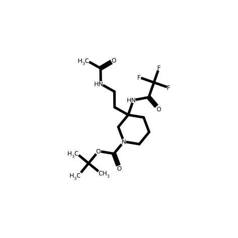 CC(=O)NCCC1(NC(=O)C(F)(F)F)CCCN(C(=O)OC(C)(C)C)C1